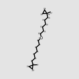 CC1(CCCCCCCOCCCCCCC2(C)CC2)CC1